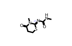 CNC(=O)/N=C1\SCCC(=O)N1C